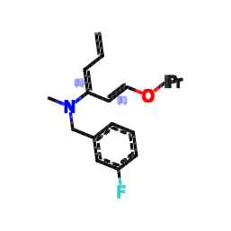 C=C/C=C(\C=C\OC(C)C)N(C)Cc1cccc(F)c1